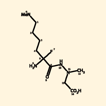 CNCCCCC(N)(F)C(=O)NN(C)CC(=O)O